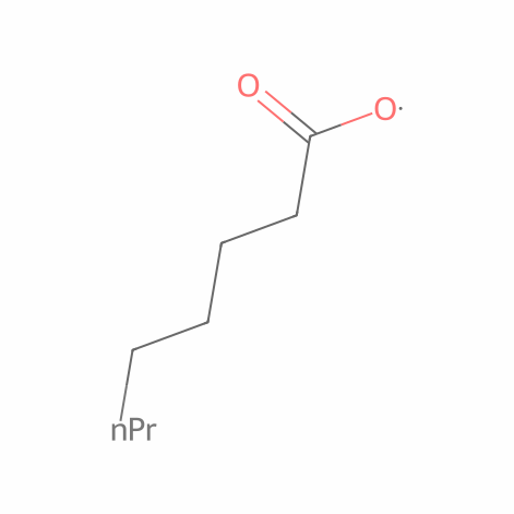 [CH2]CCCCCCC([O])=O